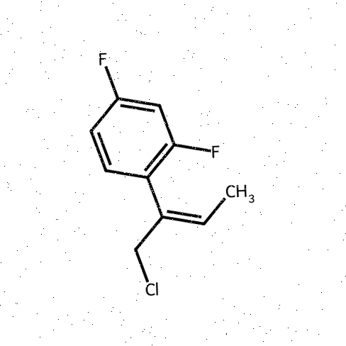 C/C=C(/CCl)c1ccc(F)cc1F